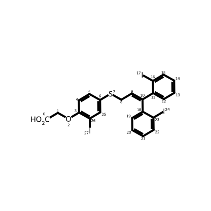 O=C(O)COc1ccc(SCC=C(c2ccccc2I)c2ccccc2I)cc1I